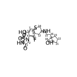 O=C1CN(c2c(O)cc3c(c2F)C[C@H](NCCC2(CO)CCCC2)CS3)S(=O)(=O)N1